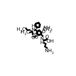 CCCC[C@]1(CC)CS(=O)(=O)c2cc(CN[C@@H](CCCCN)C(=O)O)c(OC)cc2[C@@H](c2ccccc2)N1.N